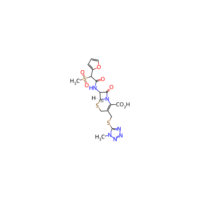 Cn1nnnc1SCC1=C(C(=O)O)N2C(=O)C(NC(=O)C(c3ccco3)S(C)(=O)=O)[C@@H]2SC1